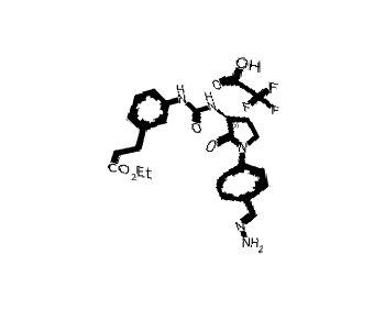 CCOC(=O)CCc1cccc(NC(=O)N[C@H]2CCN(c3ccc(C=NN)cc3)C2=O)c1.O=C(O)C(F)(F)F